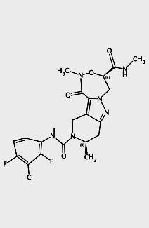 CNC(=O)[C@H]1Cn2nc3c(c2C(=O)N(C)O1)CN(C(=O)Nc1ccc(F)c(Cl)c1F)[C@H](C)C3